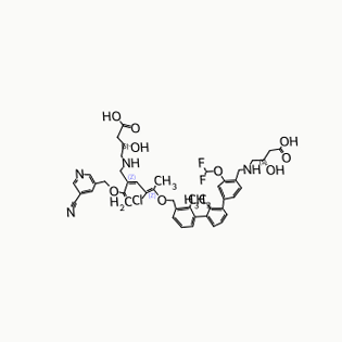 C=C(OCc1cncc(C#N)c1)/C(=C\C(Cl)=C(/C)OCc1cccc(-c2cccc(-c3ccc(CNC[C@@H](O)CC(=O)O)c(OC(F)F)c3)c2C)c1C)CNC[C@@H](O)CC(=O)O